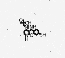 CC1(CNc2cc[nH]c(=O)c2C(=N)c2ccc(S)cc2)COC1